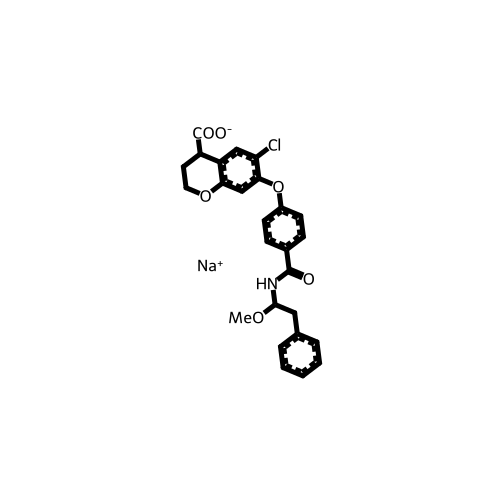 COC(Cc1ccccc1)NC(=O)c1ccc(Oc2cc3c(cc2Cl)C(C(=O)[O-])CCO3)cc1.[Na+]